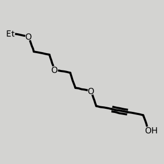 CCOCCOCCOCC#CCO